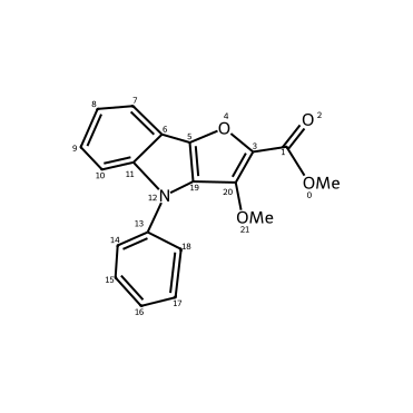 COC(=O)c1oc2c3ccccc3n(-c3ccccc3)c2c1OC